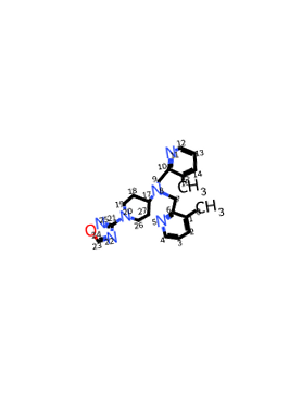 Cc1cccnc1CN(Cc1ncccc1C)C1CCN(c2ncon2)CC1